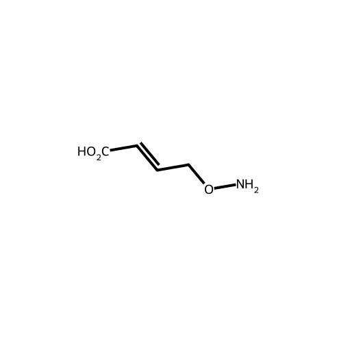 NOCC=CC(=O)O